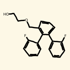 OCCOCc1cccc(-c2ccccc2F)c1-c1ccccc1F